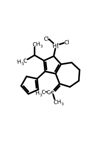 CC(C)C1=C(C2=CC=CC2)C2=C(CCCC[C]2=[Ge]([CH3])[CH3])[CH]1[Hf]([Cl])[Cl]